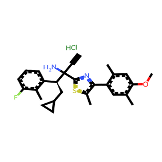 C#CC(N)(c1nc(-c2cc(C)c(OC)cc2C)c(C)s1)[C@@H](CC1CC1)c1cccc(F)c1C.Cl